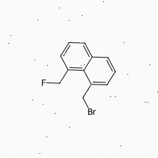 FCc1cccc2cccc(CBr)c12